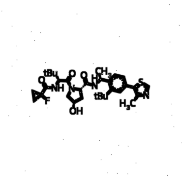 Cc1ncsc1-c1ccc([C@H](C)NC(=O)[C@@H]2C[C@@H](O)CN2C(=O)[C@@H](NC(=O)C2(F)CC2)C(C)(C)C)c(C(C)(C)C)c1